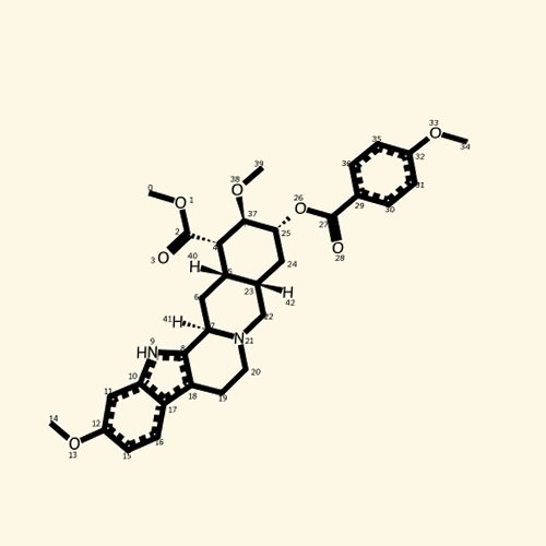 COC(=O)[C@H]1[C@H]2C[C@@H]3c4[nH]c5cc(OC)ccc5c4CCN3C[C@H]2C[C@@H](OC(=O)c2ccc(OC)cc2)[C@@H]1OC